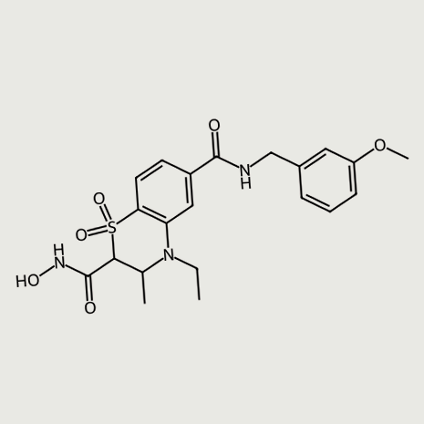 CCN1c2cc(C(=O)NCc3cccc(OC)c3)ccc2S(=O)(=O)C(C(=O)NO)C1C